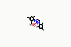 CCOC1N(c2c(C)cc(C)cc2C)CCN1c1c(C)cc(C)cc1C